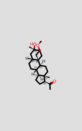 COCC[C@]12CC[C@@](C)(O)C[C@H]1CC[C@H]1[C@@H]3CC[C@H](C(C)=O)[C@@]3(C)CC[C@@H]12